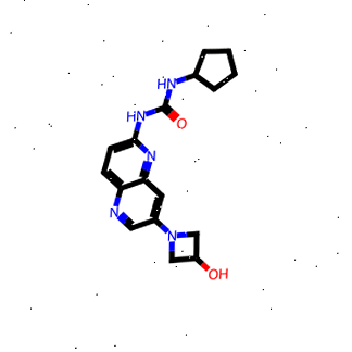 O=C(Nc1ccc2ncc(N3CC(O)C3)cc2n1)NC1CCCC1